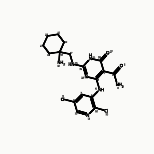 NC(=O)c1c(Nc2cc(Cl)cnc2Cl)nc(NCC2(N)CCCCC2)[nH]c1=O